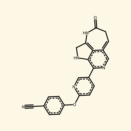 N#Cc1ccc(Oc2ccc(-c3ncc4c5c3NCC=5NC(=O)CC=4)cn2)cc1